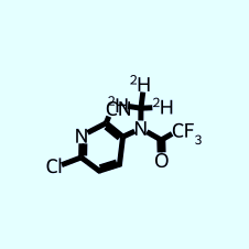 [2H]C([2H])([2H])N(C(=O)C(F)(F)F)c1ccc(Cl)nc1C#N